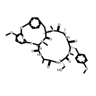 COc1ccc(C[C@H]2C(=O)N[C@@H](C)C(=O)N(C)[C@H]3Cc4ccc(cc4)Oc4cc(ccc4OC)C[C@@H](C(=O)NC(C)C(=O)N[C@@H](CO)C(=O)N2C)N(C)C3=O)cc1